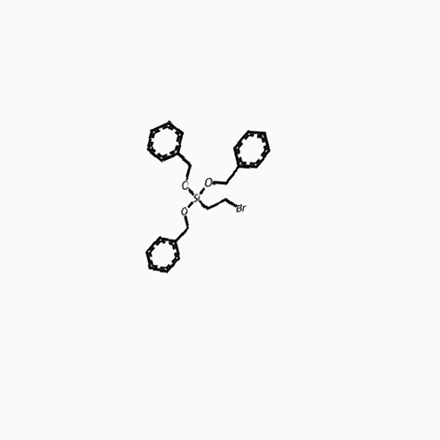 BrCC[Si](OCc1ccccc1)(OCc1ccccc1)OCc1ccccc1